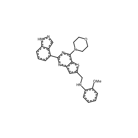 COc1ccccc1NCc1cc2nc(-c3cccc4[nH]ncc34)nc(N3CCOCC3)c2s1